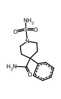 NC(=O)C1(c2ccccc2)CCN(S(N)(=O)=O)CC1